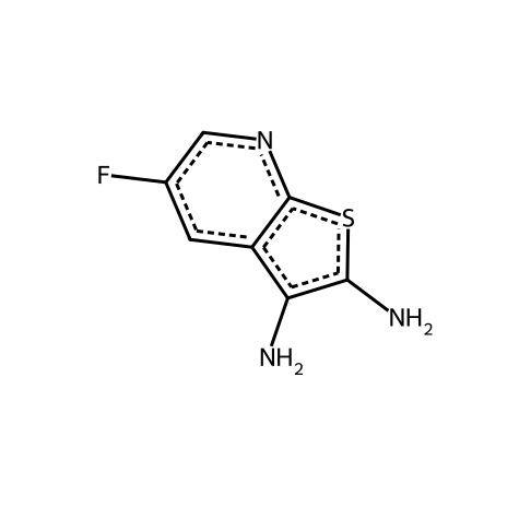 Nc1sc2ncc(F)cc2c1N